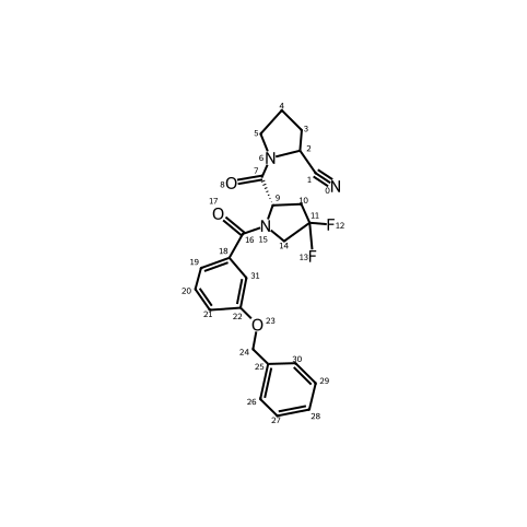 N#CC1CCCN1C(=O)[C@@H]1CC(F)(F)CN1C(=O)c1cccc(OCc2ccccc2)c1